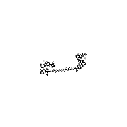 Cc1ncsc1-c1ccc([C@H](C)NC(=O)[C@@H]2CCCN2C(=O)[C@@H](NC(=O)COCCOCCOCCOCCOCCCCC(=O)N2CCN(c3ncnc4c(F)c(-c5cc(O)cc6ccccc56)c(Cl)cc34)CC2)C(C)(C)C)cc1